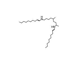 CCCCCCCC/C=C/NCCCCC(C)CCC(C)N/C=C/CCCCCCCC